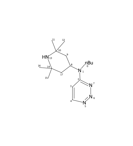 CCCCN(c1ccnnn1)C1CC(C)(C)NC(C)(C)C1